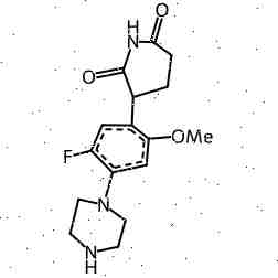 COc1cc(N2CCNCC2)c(F)cc1C1CCC(=O)NC1=O